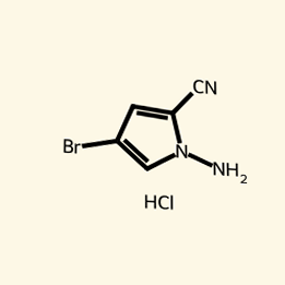 Cl.N#Cc1cc(Br)cn1N